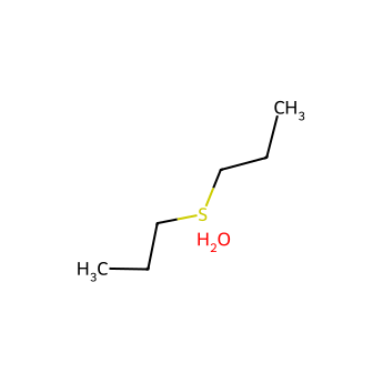 CCCSCCC.O